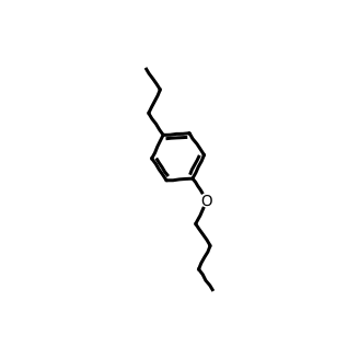 CCCCOc1ccc(CCC)cc1